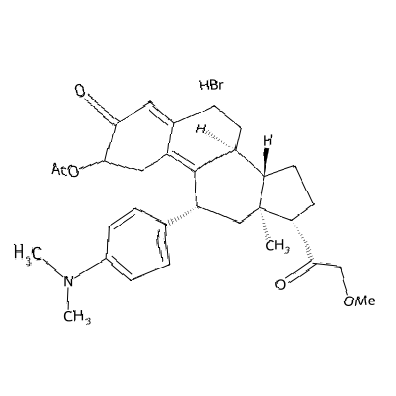 Br.COCC(=O)[C@H]1CC[C@H]2[C@@H]3CCC4=CC(=O)C(OC(C)=O)CC4=C3[C@@H](c3ccc(N(C)C)cc3)C[C@]12C